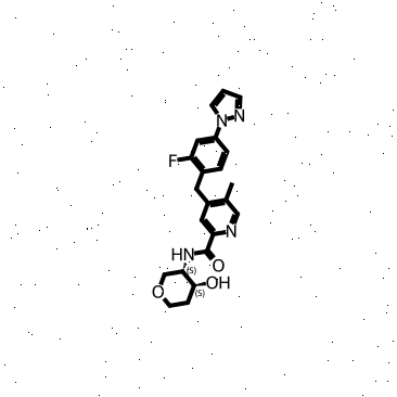 Cc1cnc(C(=O)N[C@H]2COCC[C@@H]2O)cc1Cc1ccc(-n2cccn2)cc1F